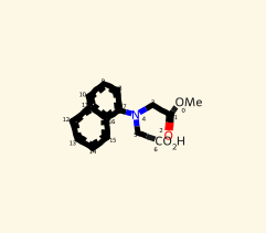 COC(=O)CN(CC(=O)O)c1cccc2ccccc12